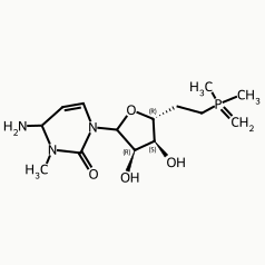 C=P(C)(C)CC[C@H]1OC(N2C=CC(N)N(C)C2=O)[C@H](O)[C@@H]1O